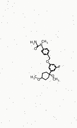 COC1CCC(OC)(c2cc(F)cc(OCc3ccc(N(C)C(N)=O)cc3)c2)CC1